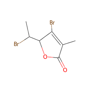 CC1=C(Br)C(C(C)Br)OC1=O